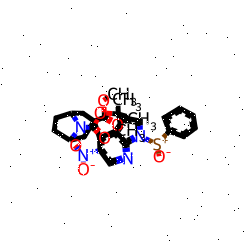 COC(=O)C1(c2c([N+](=O)[O-])cnc3c2ccn3[S+]([O-])c2ccccc2)CC2CCC(C1)N2C(=O)OC(C)(C)C